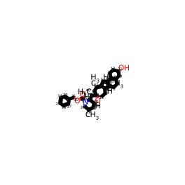 CC1=C2C[C@H]3[C@@H](CCC4C[C@H](O)CC[C@@]43C)[C@@H]2CC[C@@]2(C1)O[C@@H]1C[C@H](C)CN(C(=O)OCc3ccccc3)[C@H]1[C@H]2C